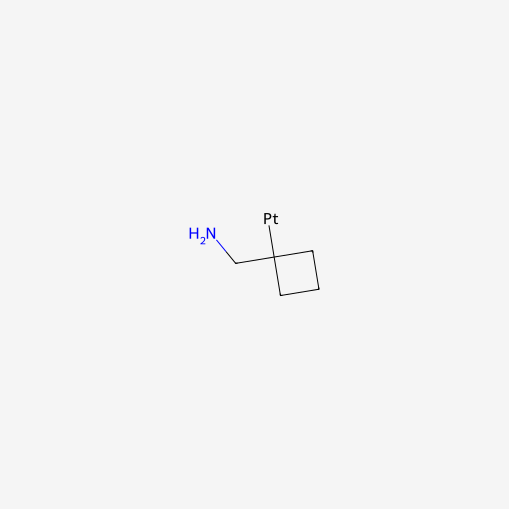 NC[C]1([Pt])CCC1